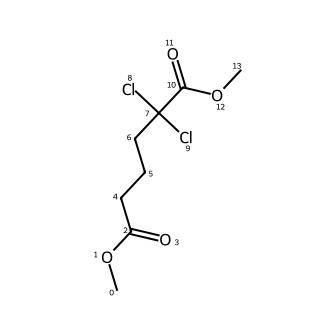 COC(=O)CCCC(Cl)(Cl)C(=O)OC